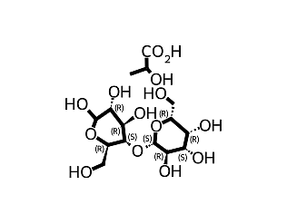 CC(O)C(=O)O.OC[C@H]1O[C@@H](O[C@H]2[C@H](O)[C@@H](O)C(O)O[C@@H]2CO)[C@H](O)[C@@H](O)[C@H]1O